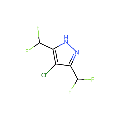 FC(F)c1n[nH]c(C(F)F)c1Cl